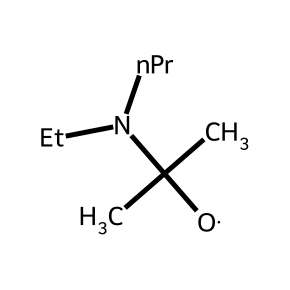 CCCN(CC)C(C)(C)[O]